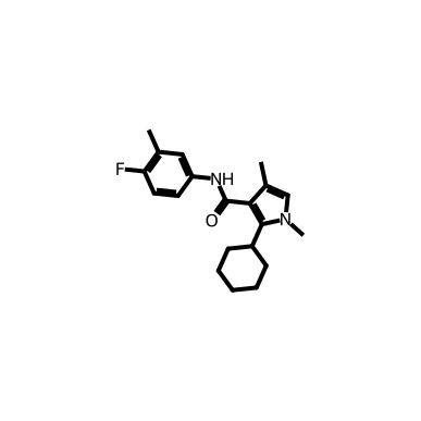 Cc1cc(NC(=O)c2c(C)cn(C)c2C2CCCCC2)ccc1F